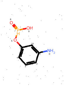 Nc1cccc(O[PH](=O)O)c1